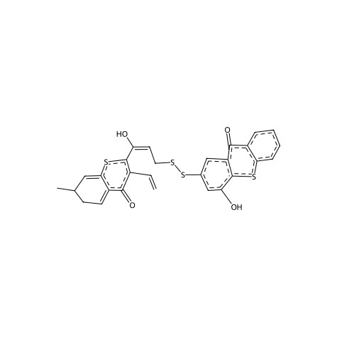 C=Cc1c(/C(O)=C\CSSc2cc(O)c3sc4ccccc4c(=O)c3c2)sc2c(c1=O)=CCC(C)C=2